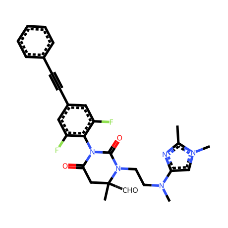 Cc1nc(N(C)CCN2C(=O)N(c3c(F)cc(C#Cc4ccccc4)cc3F)C(=O)CC2(C)C=O)cn1C